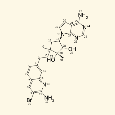 CC1(CCc2ccc3cc(Br)c(N)nc3c2)C[C@@H](n2ccc3c(N)ncnc32)[C@H](O)[C@]1(C)O